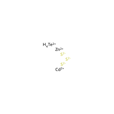 [Cd+2].[S-2].[S-2].[S-2].[TeH4+2].[Zn+2]